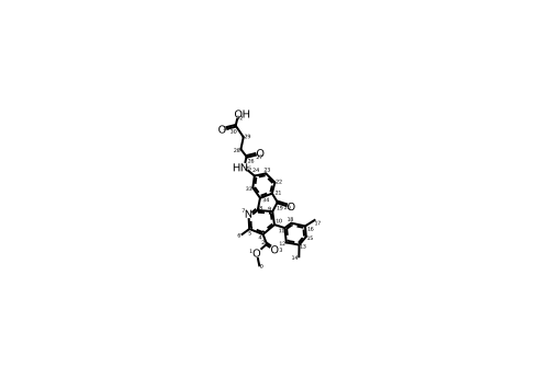 COC(=O)c1c(C)nc2c(c1-c1cc(C)cc(C)c1)C(=O)c1ccc(NC(=O)CCC(=O)O)cc1-2